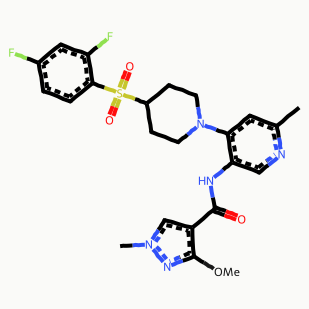 COc1nn(C)cc1C(=O)Nc1cnc(C)cc1N1CCC(S(=O)(=O)c2ccc(F)cc2F)CC1